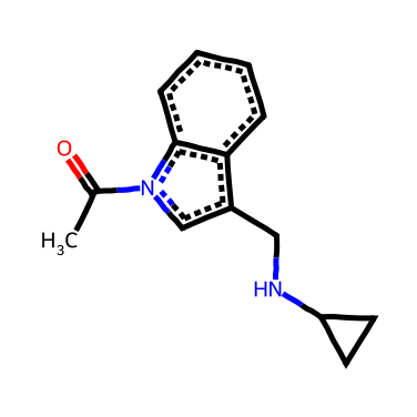 CC(=O)n1cc(CNC2CC2)c2ccccc21